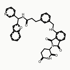 O=C1CCC(N2C(=O)c3cccc(NCc4cccc(CCC(=O)NC(c5cccnc5)c5cc6ccccc6o5)c4)c3C2=O)C(=O)N1